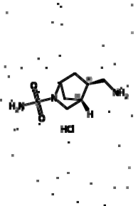 Cl.NC[C@@H]1CC2C[C@H]1CN2S(N)(=O)=O